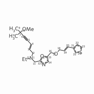 CCN(CC=CC#CC(C)(C)OC)Cc1ncc(COCC=Cc2ccsc2)o1